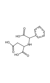 O=C(O)CC(NC(C(=O)O)c1ccccc1)C(=O)O